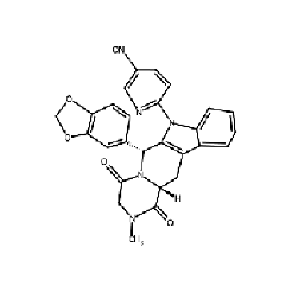 CN1CC(=O)N2[C@H](c3ccc4c(c3)OCO4)c3c(c4ccccc4n3-c3ccc(N=O)cn3)C[C@@H]2C1=O